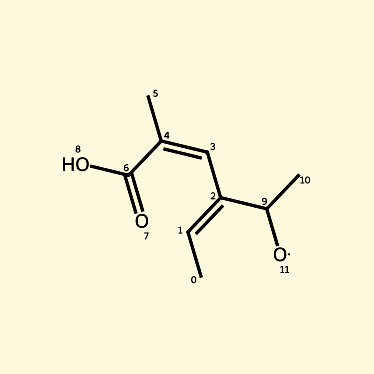 CC=C(C=C(C)C(=O)O)C(C)[O]